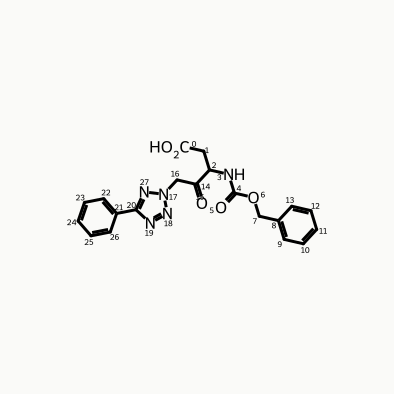 O=C(O)CC(NC(=O)OCc1ccccc1)C(=O)Cn1nnc(-c2ccccc2)n1